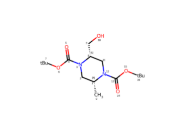 C[C@@H]1CN(C(=O)OC(C)(C)C)[C@H](CO)CN1C(=O)OC(C)(C)C